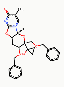 Cc1cn2c(nc1=O)OC1CC(OCc3ccccc3)[C@](COCc3ccccc3)(C3(O)CC3)O[C@H]12